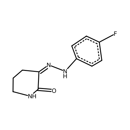 O=C1NCCCC1=NNc1ccc(F)cc1